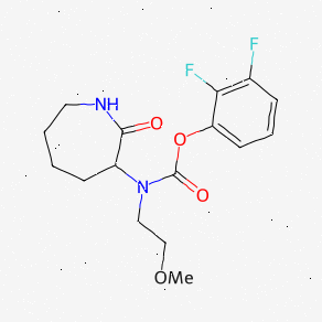 COCCN(C(=O)Oc1cccc(F)c1F)C1CCCCNC1=O